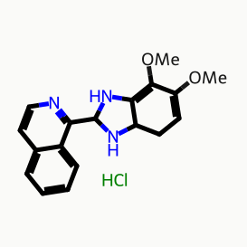 COC1=CCC2NC(c3nccc4ccccc34)NC2=C1OC.Cl